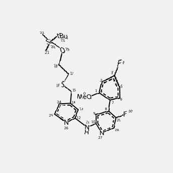 COc1cc(F)ccc1-c1cc(Nc2cc(CSCCO[Si](C)(C)C(C)(C)C)ccn2)ncc1F